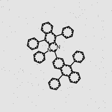 c1ccc(-c2c3ccccc3c(-c3ccccc3)c3cc(-c4nc5c(-c6ccccc6)c6ccccc6c(-c6ccccc6)c5n4-c4ccccc4)ccc23)cc1